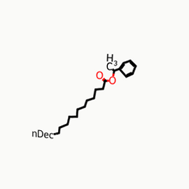 CCCCCCCCCCCCCCCCCCCCCC(=O)OC(C)c1ccccc1